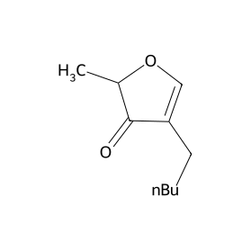 CCCCCC1=COC(C)C1=O